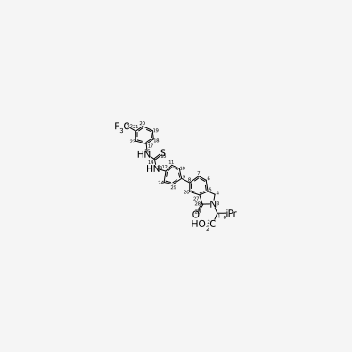 CC(C)C(C(=O)O)N1Cc2ccc(-c3ccc(NC(=S)Nc4cccc(C(F)(F)F)c4)cc3)cc2C1=O